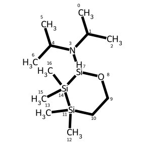 CC(C)N(C(C)C)[SiH]1OCC[Si](C)(C)[Si]1(C)C